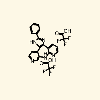 O=C(O)C(F)(F)F.O=C(O)C(F)(F)F.c1ccc(-c2nc3c([nH]2)-c2ccncc2Nc2ncccc2-3)cc1